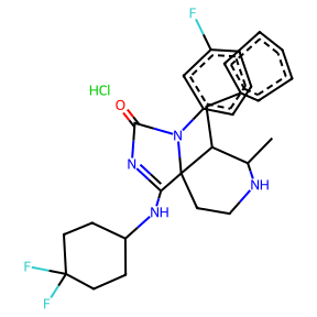 CC1NCCC2(C(NC3CCC(F)(F)CC3)=NC(=O)N2c2cccc(F)c2)C1Cc1ccccc1.Cl